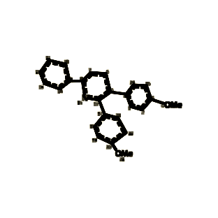 COc1ccc(-c2ccc(-c3ccccc3)nc2-c2ccc(OC)cc2)cc1